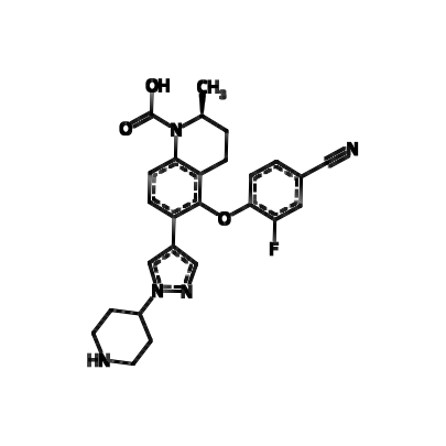 C[C@H]1CCc2c(ccc(-c3cnn(C4CCNCC4)c3)c2Oc2ccc(C#N)cc2F)N1C(=O)O